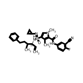 C=C[C@@H](NS(=O)(=NC1CC1)c1cn(C)c(C(=O)Nc2ccc(F)c(C#N)c2)c1C)C(C)CCc1ccccc1